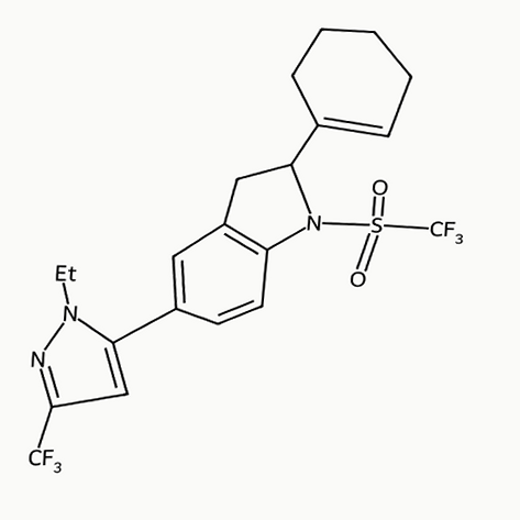 CCn1nc(C(F)(F)F)cc1-c1ccc2c(c1)CC(C1=CCCCC1)N2S(=O)(=O)C(F)(F)F